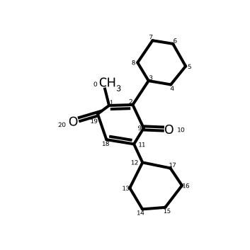 CC1=C(C2CCCCC2)C(=O)C(C2CCCCC2)=CC1=O